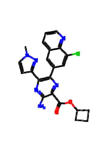 Cn1ccc(-c2nc(N)c(C(=O)OC3CCC3)nc2-c2cc(Cl)c3ncccc3c2)n1